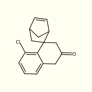 O=C1Cc2cccc(Cl)c2C2(C1)CC1C=CC2C1